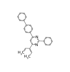 C=C/C(=C\C)c1cc(-c2ccc(-c3ccccc3)cc2)nc(-c2ccccc2)n1